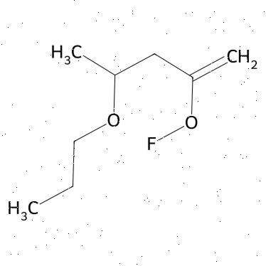 C=C(CC(C)OCCC)OF